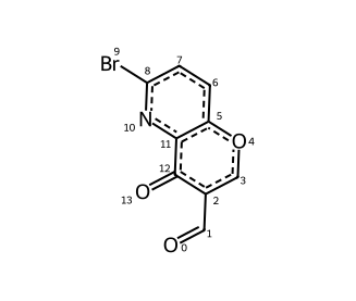 O=Cc1coc2ccc(Br)nc2c1=O